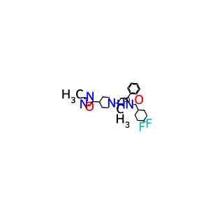 Cc1noc(C2CCN(C(C)C[C@H](NC(=O)C3CCC(F)(F)CC3)c3ccccc3)CC2)n1